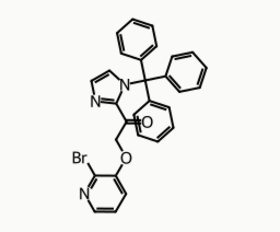 O=C(COc1cccnc1Br)c1nccn1C(c1ccccc1)(c1ccccc1)c1ccccc1